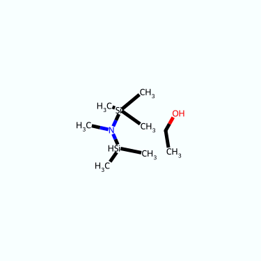 CCO.CN([SiH](C)C)[Si](C)(C)C